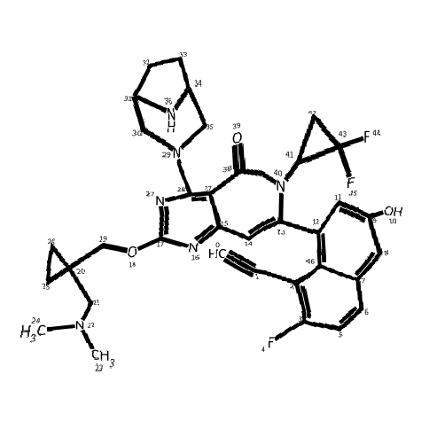 C#Cc1c(F)ccc2cc(O)cc(-c3cc4nc(OCC5(CN(C)C)CC5)nc(N5CC6CCC(C5)N6)c4c(=O)n3C3CC3(F)F)c12